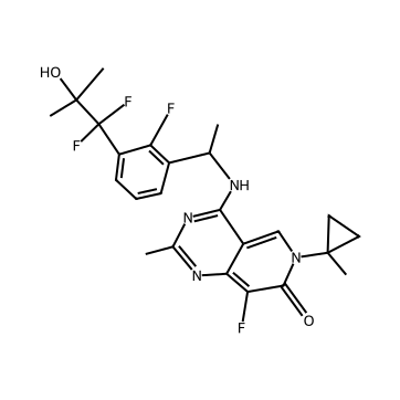 Cc1nc(NC(C)c2cccc(C(F)(F)C(C)(C)O)c2F)c2cn(C3(C)CC3)c(=O)c(F)c2n1